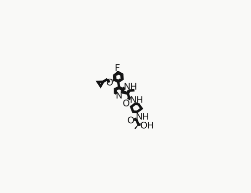 Cc1[nH]c2c(-c3ccc(F)cc3OCC3CC3)ccnc2c1C(=O)NC1CCC(NC(=O)[C@H](C)O)CC1